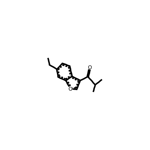 CCc1ccc2c(C(=O)C(C)C)coc2c1